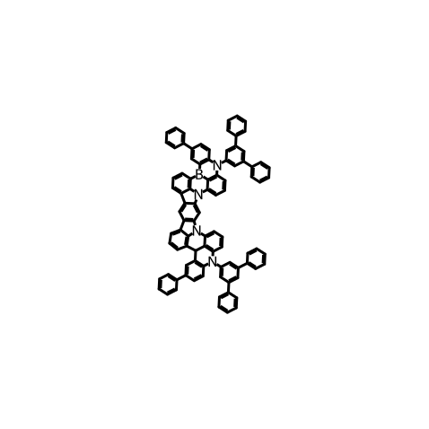 c1ccc(-c2cc(-c3ccccc3)cc(N3c4ccc(-c5ccccc5)cc4B4c5c3cccc5-n3c5cc6c(cc5c5cccc4c53)c3cccc4c3n6-c3cccc5c3C4c3cc(-c4ccccc4)ccc3N5c3cc(-c4ccccc4)cc(-c4ccccc4)c3)c2)cc1